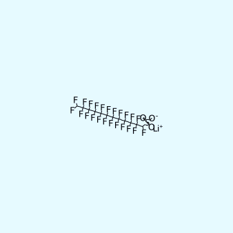 O=S(=O)([O-])C(F)C(F)(F)C(F)(F)C(F)(F)C(F)(F)C(F)(F)C(F)(F)C(F)(F)C(F)(F)C(F)(F)C(F)(F)C(F)F.[Li+]